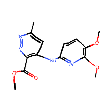 COC(=O)c1nnc(C)cc1Nc1ccc(OC)c(OC)n1